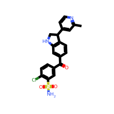 Cc1cc(C2CNc3cc(C(=O)c4ccc(Cl)c(S(N)(=O)=O)c4)ccc32)ccn1